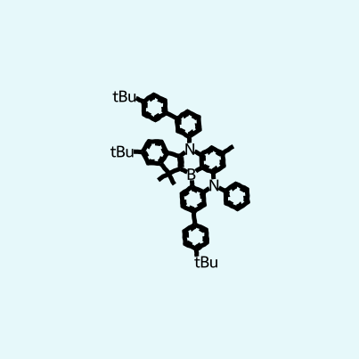 Cc1cc2c3c(c1)N(c1ccccc1)c1cc(-c4ccc(C(C)(C)C)cc4)ccc1B3C1=C(c3ccc(C(C)(C)C)cc3C1(C)C)N2c1cccc(-c2ccc(C(C)(C)C)cc2)c1